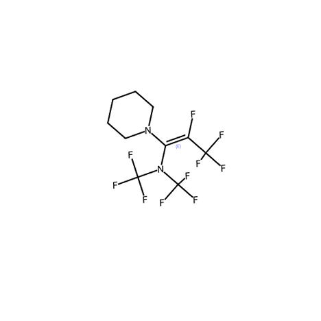 F/C(=C(\N1CCCCC1)N(C(F)(F)F)C(F)(F)F)C(F)(F)F